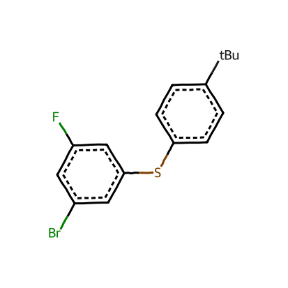 CC(C)(C)c1ccc(Sc2cc(F)cc(Br)c2)cc1